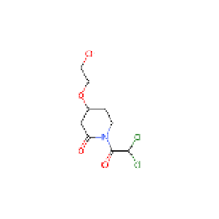 [O]CCOC1CCN(C(=O)C(Cl)Cl)C(=O)C1